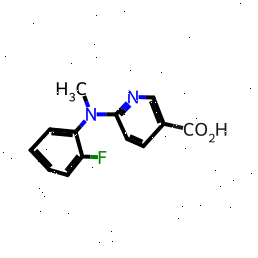 CN(c1ccc(C(=O)O)cn1)c1ccccc1F